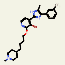 Cc1[nH]c(-c2ccnc(OCCCCC3CCN(C)CC3)c2Br)nc1-c1cccc(C(F)(F)F)c1